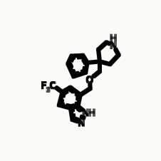 FC(F)(F)c1cc(COCC2(c3ccccc3)CCNCC2)c2[nH]ncc2c1